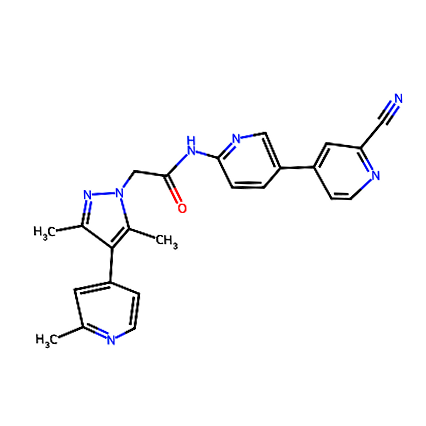 Cc1cc(-c2c(C)nn(CC(=O)Nc3ccc(-c4ccnc(C#N)c4)cn3)c2C)ccn1